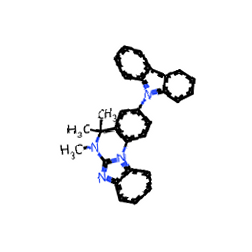 CN1c2nc3ccccc3n2-c2ccc(-n3c4ccccc4c4ccccc43)cc2C1(C)C